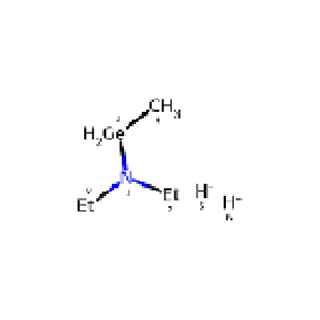 CC[N](CC)[GeH2][CH3].[H-].[H-]